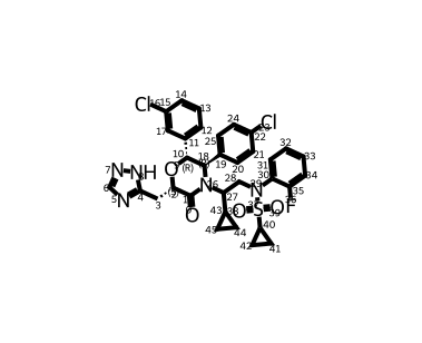 O=C1[C@H](Cc2ncn[nH]2)O[C@H](c2cccc(Cl)c2)[C@@H](c2ccc(Cl)cc2)N1C(CN(c1ccccc1F)S(=O)(=O)C1CC1)C1CC1